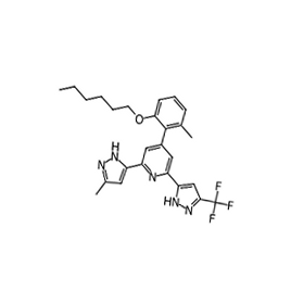 CCCCCCOc1cccc(C)c1-c1cc(-c2cc(C)n[nH]2)nc(-c2cc(C(F)(F)F)n[nH]2)c1